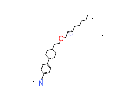 CCCCC/C=C/COCCC1CCC(c2ccc(C#N)cc2)CC1